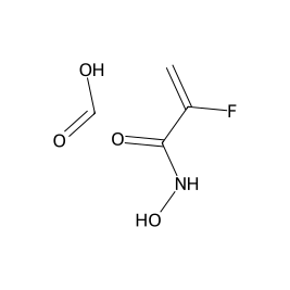 C=C(F)C(=O)NO.O=CO